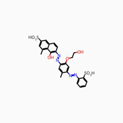 Cc1cc(N=Nc2ccc3cc(S(=O)(=O)O)cc(C)c3c2O)c(OCCO)cc1N=Nc1ccccc1S(=O)(=O)O